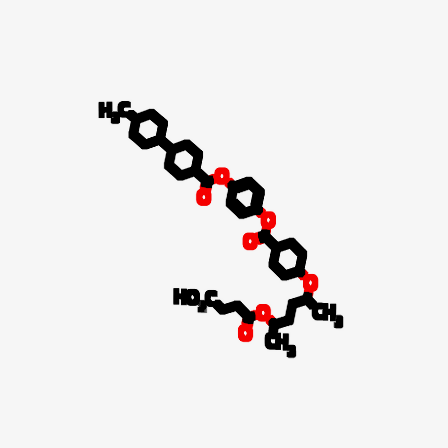 CC1CCC(C2CCC(C(=O)Oc3ccc(OC(=O)C4CCC(OC(C)CCC(C)OC(=O)CCC(=O)O)CC4)cc3)CC2)CC1